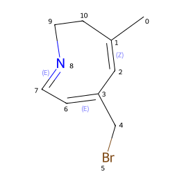 C/C1=C/C(CBr)=C\C=N\CC1